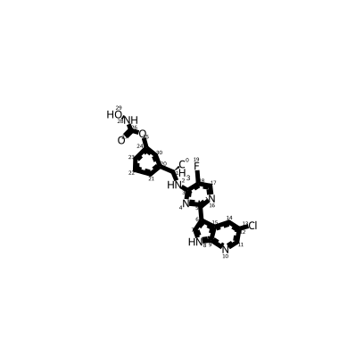 C[C@H](Nc1nc(-c2c[nH]c3ncc(Cl)cc23)ncc1F)c1cccc(OC(=O)NO)c1